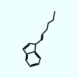 CCCC/C=C/C1C=Cc2ccccc21